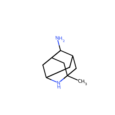 CC12CC3CC(CC(C1)C3N)N2